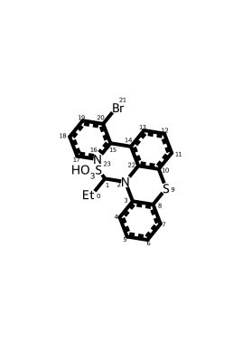 CCC(N1c2ccccc2Sc2cccc(-c3ncccc3Br)c21)S(=O)(=O)O